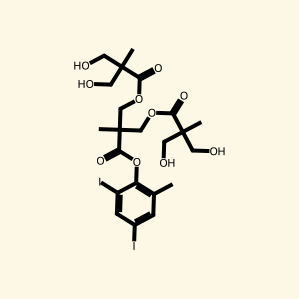 Cc1cc(I)cc(I)c1OC(=O)C(C)(COC(=O)C(C)(CO)CO)COC(=O)C(C)(CO)CO